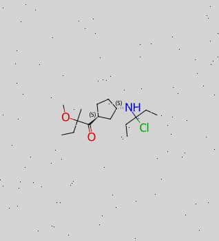 CCC(Cl)(CC)N[C@H]1CC[C@H](C(=O)C(C)(CC)OC)C1